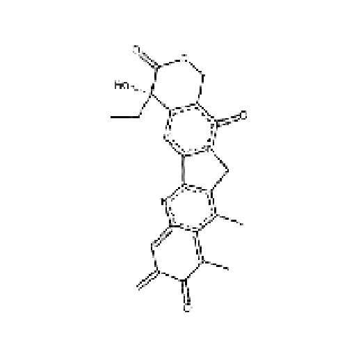 C=C1C=c2nc3c(c(C)c2=C(C)C1=O)Cn1c-3cc2c(c1=O)COC(=O)[C@]2(O)CC